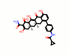 NC(=O)C1=C(O)C[C@@H]2C[C@@H]3Cc4c(-c5ccc(NC(=O)C6CC6)cc5)ccc(O)c4C(=O)C3=C(O)[C@]2(O)C1=O